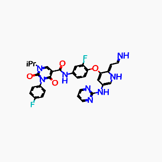 CC(C)n1cc(C(=O)Nc2ccc(OC3=CC(Nc4ncccn4)=CN/C3=C\C=N)c(F)c2)c(=O)n(-c2ccc(F)cc2)c1=O